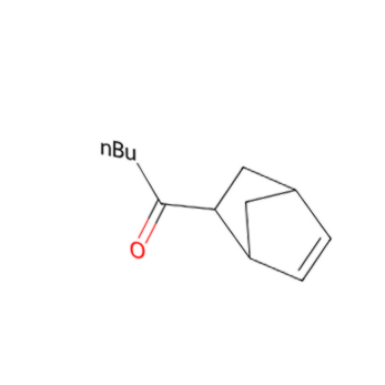 CCCCC(=O)C1CC2C=CC1C2